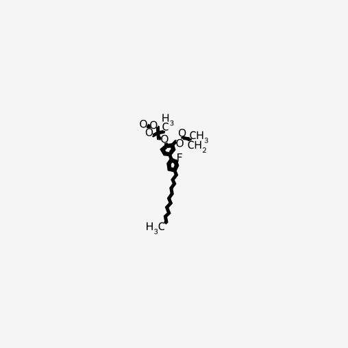 C=C(C)C(=O)OCc1cc(-c2ccc(CCCCCCCCCCCC)cc2F)ccc1OCC1(CC)COC(=O)OC1